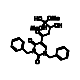 CO[PH](O)(OC)C(O)CC(=O)c1cn(Cc2ccccc2)c(=O)n(Cc2ccccc2)c1=O